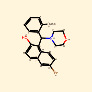 COc1ccccc1C(c1c(O)ccc2cc(Br)ccc12)N1CCOCC1